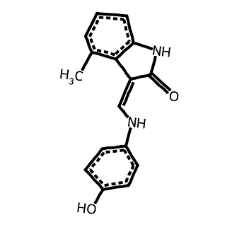 Cc1cccc2c1C(=CNc1ccc(O)cc1)C(=O)N2